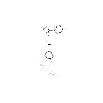 CCOP(=O)(Cc1ccc(NC(=O)CCc2oc(C)nc2-c2ccc(Cl)cc2)cc1)OCC